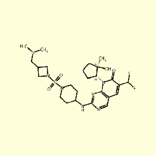 CN(C)CC1CN(S(=O)(=O)N2CCC(Nc3ncc4cc(C(F)F)c(=O)n([C@@H]5CCC[C@@]5(C)O)c4n3)CC2)C1